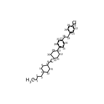 CCCCC1CCC(CCC2CCC(c3ccc(CCc4ccc(Cl)cc4)cc3)CC2)CC1